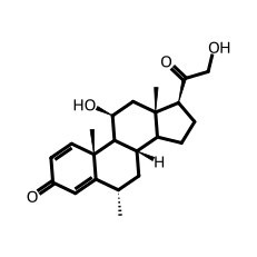 C[C@H]1C[C@@H]2C([C@@H](O)C[C@@]3(C)C2CC[C@@H]3C(=O)CO)[C@@]2(C)C=CC(=O)C=C12